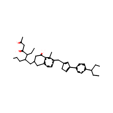 CCCC(CC1CC(=O)c2c(ccc(CC3=CC(c4ccc(C(CC)CC)cc4)=CC3)c2C)C1)C(CC)C(=O)CC(C)=O